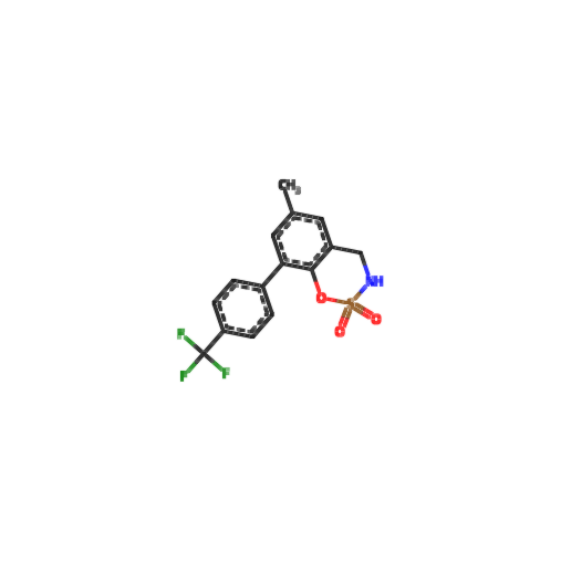 Cc1cc2c(c(-c3ccc(C(F)(F)F)cc3)c1)OS(=O)(=O)NC2